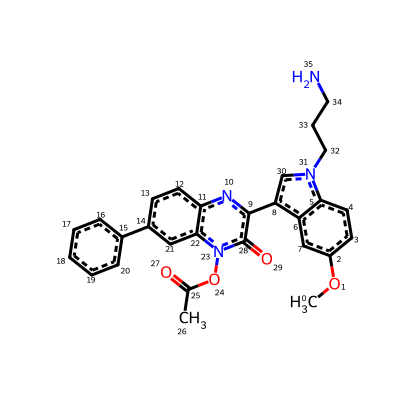 COc1ccc2c(c1)c(-c1nc3ccc(-c4ccccc4)cc3n(OC(C)=O)c1=O)cn2CCCN